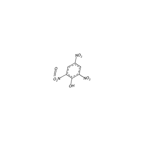 C=O.O=[N+]([O-])c1cc([N+](=O)[O-])c(O)c([N+](=O)[O-])c1